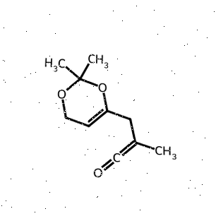 CC(=C=O)CC1=CCOC(C)(C)O1